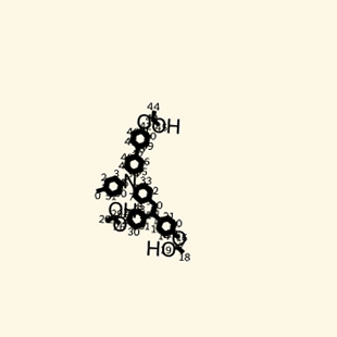 Cc1ccc(N(c2ccc(C=C(c3ccc(OC(C)O)cc3)c3ccc(OC(C)O)cc3)cc2)c2ccc(-c3ccc(OC(C)O)cc3)cc2)cc1